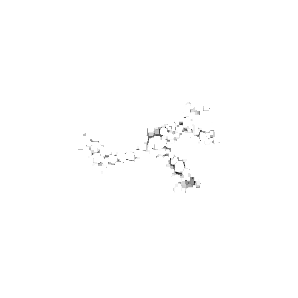 Cn1c(=O)n(C2CCC(=O)NC2=O)c2ccc(CC3CCC(CCN4CC[C@H]5CC[C@@H](C(=O)N[C@@H](CCC(N)=O)C(=O)NCc6ccc(S(C)(=O)=O)cc6)N5C(=O)[C@@H](NC(=O)c5cc6cc(C(=O)P(=O)(O)O)ccc6[nH]5)C4)CC3)cc21